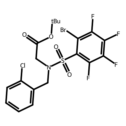 CC(C)(C)OC(=O)CN(Cc1ccccc1Cl)S(=O)(=O)c1c(F)c(F)c(F)c(F)c1Br